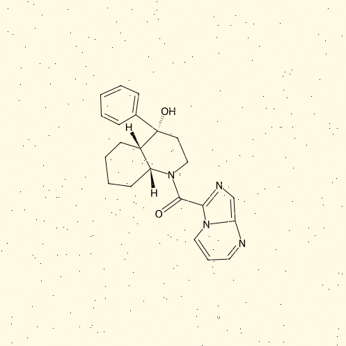 O=C(c1ncc2ncccn12)N1CC[C@](O)(c2ccccc2)[C@H]2CCCC[C@H]21